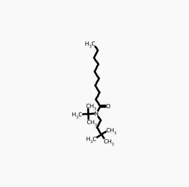 CCCCCCCCCC(=O)N(CCC(C)(C)C)C(C)(C)C